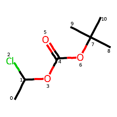 CC(Cl)OC(=O)OC(C)(C)C